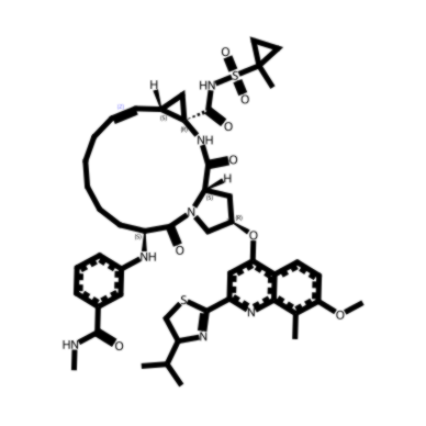 CNC(=O)c1cccc(N[C@H]2CCCCC/C=C\[C@@H]3C[C@@]3(C(=O)NS(=O)(=O)C3(C)CC3)NC(=O)[C@@H]3C[C@@H](Oc4cc(C5=NC(C(C)C)CS5)nc5c(C)c(OC)ccc45)CN3C2=O)c1